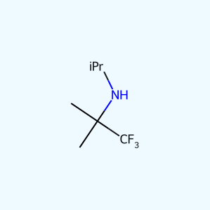 CC(C)NC(C)(C)C(F)(F)F